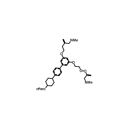 C=C(CCOc1cc(OCCOOC(=C)CNC)cc(-c2ccc(C3CCC(CCCCC)CC3)cc2)c1)CNC